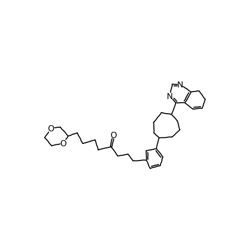 O=C(CCCCC1COCCO1)CCCc1cccc(C2CCCC(c3ncnc4c3C=CCC4)CCC2)c1